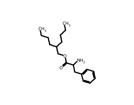 CCCCC(CCCC)COC(=O)C(N)Cc1ccccc1